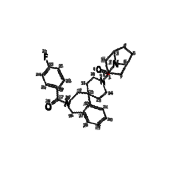 O=CN1C2CCC1CC(N1CCC3(CC1)CN(C(=O)c1ccc(F)cc1)Cc1ccccc13)C2